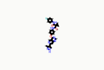 Cc1n[nH]cc1-c1cc2ncnc(Oc3ccc(NC(=O)C4(C(=O)Nc5ccc(F)cc5)CC4)cc3)c2cn1